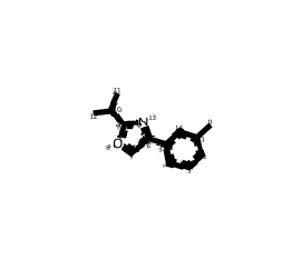 Cc1cccc(-c2coc(C(C)C)n2)c1